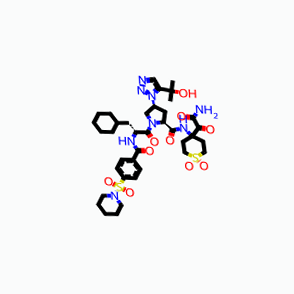 CC(C)(O)c1cnnn1[C@H]1C[C@@H](C(=O)NC2(C(=O)C(N)=O)CCS(=O)(=O)CC2)N(C(=O)[C@@H](CC2CCCCC2)NC(=O)c2ccc(S(=O)(=O)N3CCCCC3)cc2)C1